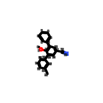 COc1c(-c2ccccc2)cc(C#N)cc1-c1cccc(C)c1